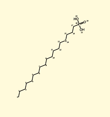 CCCCCCCCCCCCCCSCCCP(=O)(O)O